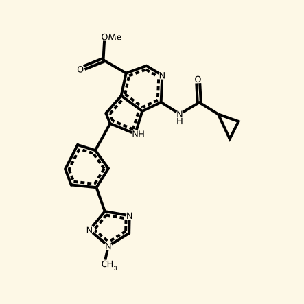 COC(=O)c1cnc(NC(=O)C2CC2)c2[nH]c(-c3cccc(-c4ncn(C)n4)c3)cc12